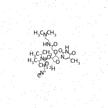 [2H]C[C@H]1O[C@@H](n2cc(C)c(=O)[nH]c2=O)[C@H](OCC(=O)NCCN(C)C)[C@@H]1OP(OCC[N+]#[C-])N(C(C)C)C(C)C